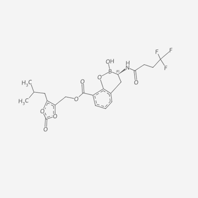 CC(C)Cc1oc(=O)oc1COC(=O)c1cccc2c1OB(O)[C@@H](NC(=O)CCC(F)(F)F)C2